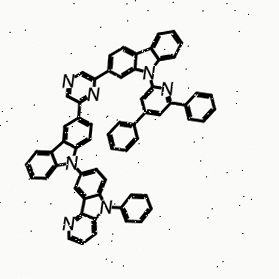 c1ccc(-c2cc(-c3ccccc3)nc(-n3c4ccccc4c4ccc(-c5cncc(-c6ccc7c(c6)c6ccccc6n7-c6ccc7c(c6)c6ncccc6n7-c6ccccc6)n5)cc43)c2)cc1